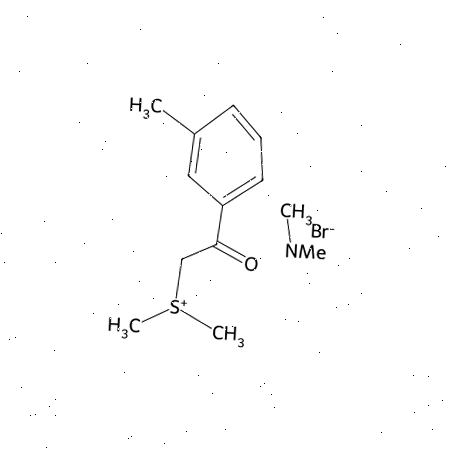 CNC.Cc1cccc(C(=O)C[S+](C)C)c1.[Br-]